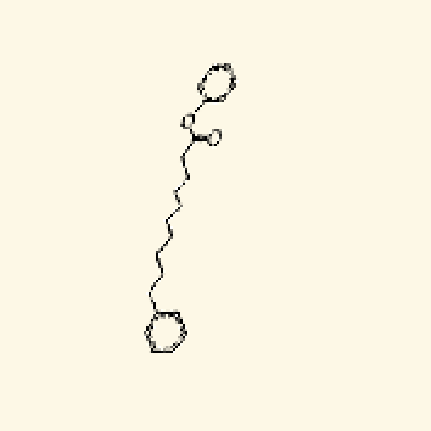 O=C(CCCCCCCCCc1ccccc1)Oc1ccccc1